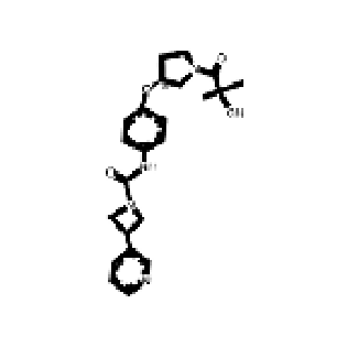 CC(C)(O)C(=O)N1CC[C@H](Oc2ccc(NC(=O)N3CC(c4cccnc4)C3)cc2)C1